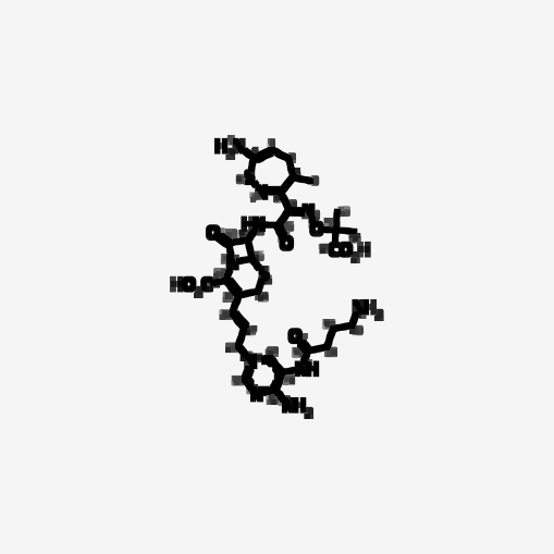 CC1CC=C(N)SN=C1/C(=N/OC(C)(C)C(=O)O)C(=O)NC1C(=O)N2C(C(=O)O)=C(/C=C/C[n+]3cnc(N)c(NC(=O)CCCN)c3)CSC12